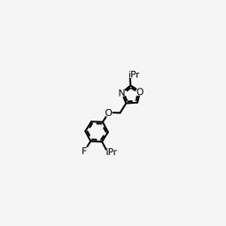 CC(C)c1nc(COc2ccc(F)c(C(C)C)c2)co1